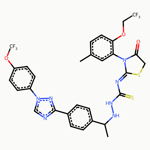 Cc1ccc(OCC(F)(F)F)c(N2C(=O)CS/C2=N\C(=S)NNC(C)c2ccc(-c3ncn(-c4ccc(OC(F)(F)F)cc4)n3)cc2)c1